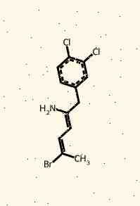 C/C(Br)=C\C=C(/N)Cc1ccc(Cl)c(Cl)c1